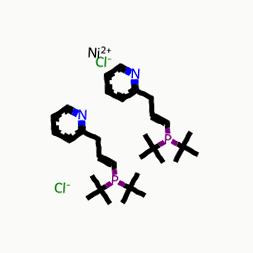 CC(C)(C)P(C=CCc1ccccn1)C(C)(C)C.CC(C)(C)P(C=CCc1ccccn1)C(C)(C)C.[Cl-].[Cl-].[Ni+2]